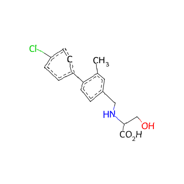 Cc1cc(CNC(CO)C(=O)O)ccc1-c1ccc(Cl)cc1